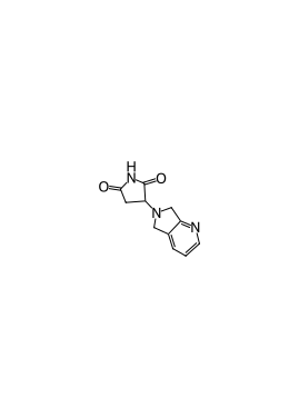 O=C1CC(N2Cc3cccnc3C2)C(=O)N1